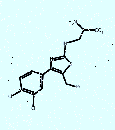 CC(C)Cc1sc(NCC(N)C(=O)O)nc1-c1ccc(Cl)c(Cl)c1